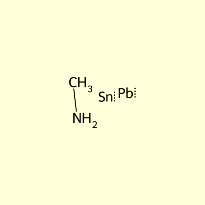 CN.[Pb].[Sn]